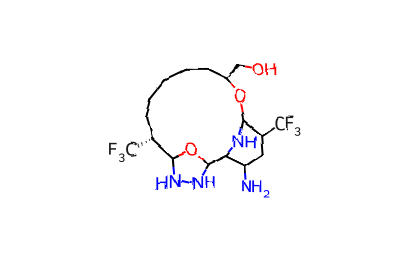 NC1CC(C(F)(F)F)C2NC1C1NNC(O1)[C@H](C(F)(F)F)CCCCC[C@@H](CO)O2